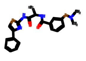 CCCC(NC(=O)c1cccc(SN(C)C)c1)C(=O)Nc1nc(-c2ccccc2)cs1